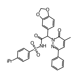 Cc1cc(-c2ccccc2)nn(C(C(=O)NS(=O)(=O)c2ccc(C(C)C)cc2)c2ccc3c(c2)OCO3)c1=O